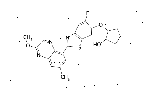 COc1cnc2c(-c3nc4cc(F)c(OC5CCCC5O)cc4s3)cc(C)cc2n1